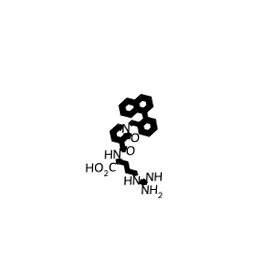 N=C(N)NCCC[C@H](NC(=O)c1cccn(Cc2ccccc2-c2cccc3ccccc23)c1=O)C(=O)O